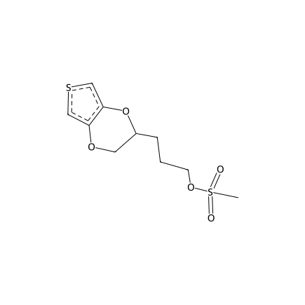 CS(=O)(=O)OCCCC1COc2cscc2O1